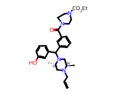 C=CCN1C[C@H](C)N(C(c2cccc(O)c2)c2cccc(C(=O)N3CCN(C(=O)OCC)CC3)c2)C[C@H]1C